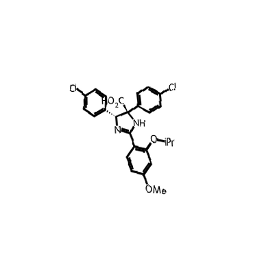 COc1ccc(C2=N[C@H](c3ccc(Cl)cc3)[C@](C(=O)O)(c3ccc(Cl)cc3)N2)c(OC(C)C)c1